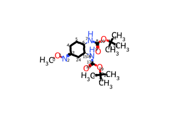 CON=C1CC[C@H](NC(=O)OC(C)(C)C)[C@H](NC(=O)OC(C)(C)C)C1